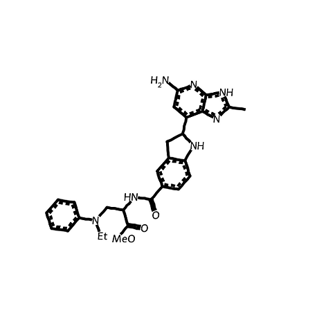 CCN(CC(NC(=O)c1ccc2c(c1)CC(c1cc(N)nc3[nH]c(C)nc13)N2)C(=O)OC)c1ccccc1